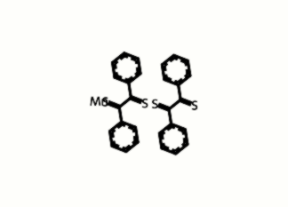 S=C(C(=S)c1ccccc1)c1ccccc1.S=C(C(=S)c1ccccc1)c1ccccc1.[Mn]